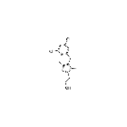 Cc1nn(CCO)c(C)c1Cc1cc(Cl)cc(Cl)c1